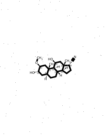 CO[C@H]1C[C@@]2(C)[C@@H](CC[C@@H]3[C@@H]2[C@@H](O)C[C@]2(C)[C@H](C#N)CC[C@@H]32)C[C@@H]1O